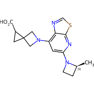 C[C@H]1CCN1c1cc(N2CC3(CC3C(=O)O)C2)c2ncsc2n1